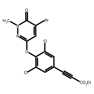 CCOC(=O)C#Cc1cc(Cl)c(Oc2cc(C(C)C)c(=O)n(C)n2)c(Cl)c1